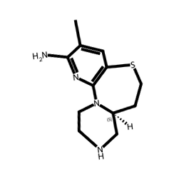 Cc1cc2c(nc1N)N1CCNC[C@@H]1CCS2